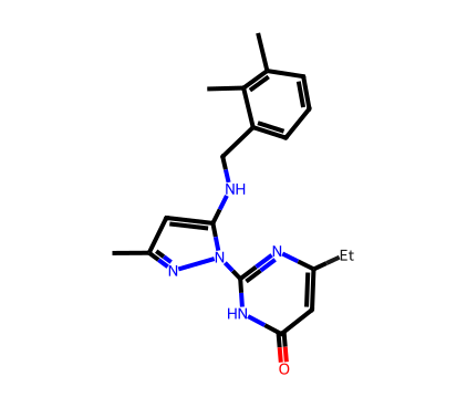 CCc1cc(=O)[nH]c(-n2nc(C)cc2NCc2cccc(C)c2C)n1